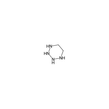 C1CNNNN1